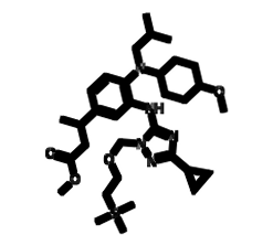 COC(=O)CC(C)c1ccc(N(CC(C)C)C2CCC(OC)CC2)c(Nc2nc(C3CC3)nn2COCC[Si](C)(C)C)c1